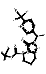 C[C@H](c1ccc(C(F)(F)F)nc1)n1nc2n(c1=O)[C@H](C(=O)OC(C)(C)C)CCC2